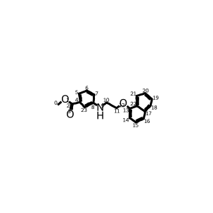 COC(=O)c1cccc(NCCOc2cccc3ccccc23)c1